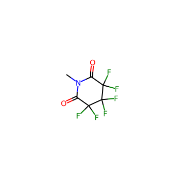 CN1C(=O)C(F)(F)C(F)(F)C(F)(F)C1=O